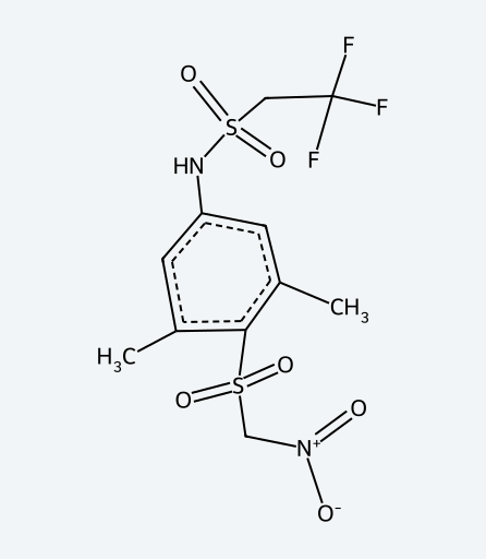 Cc1cc(NS(=O)(=O)CC(F)(F)F)cc(C)c1S(=O)(=O)C[N+](=O)[O-]